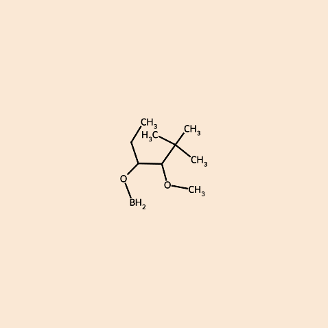 BOC(CC)C(OC)C(C)(C)C